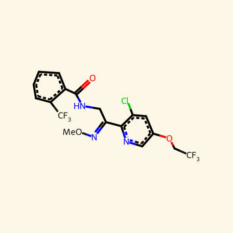 CON=C(CNC(=O)c1ccccc1C(F)(F)F)c1ncc(OCC(F)(F)F)cc1Cl